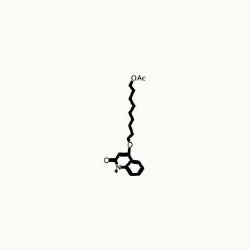 CC(=O)OCCCCCCCCCOc1cc(=O)n(C)c2ccccc12